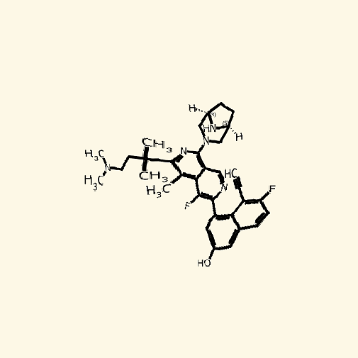 C#Cc1c(F)ccc2cc(O)cc(-c3ncc4c(N5C[C@H]6CC[C@@H](C5)N6)nc(C(C)(C)CCN(C)C)c(C)c4c3F)c12